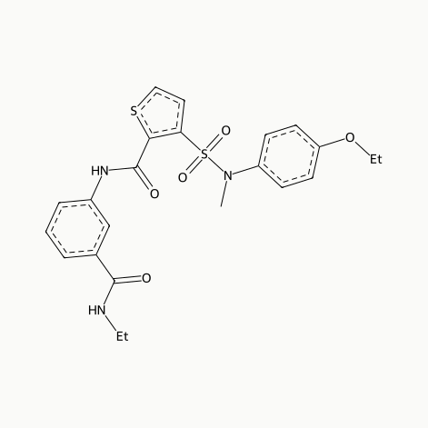 CCNC(=O)c1cccc(NC(=O)c2sccc2S(=O)(=O)N(C)c2ccc(OCC)cc2)c1